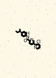 CCC(C)c1ccc(NC(=O)c2ccc(-c3ncccc3Cl)cn2)cc1